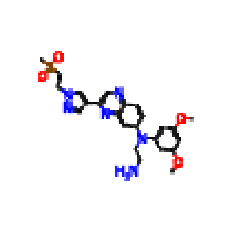 COc1cc(OC)cc(N(CCN)c2ccc3ncc(-c4cnn(CCS(C)(=O)=O)c4)nc3c2)c1